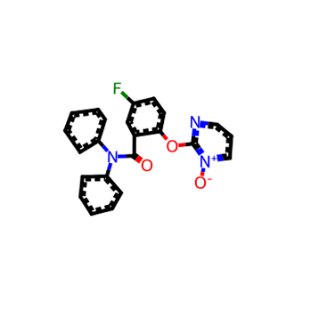 O=C(c1cc(F)ccc1Oc1nccc[n+]1[O-])N(c1ccccc1)c1ccccc1